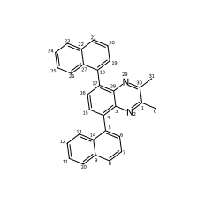 Cc1nc2c(-c3cccc4ccccc34)ccc(-c3cccc4ccccc34)c2nc1C